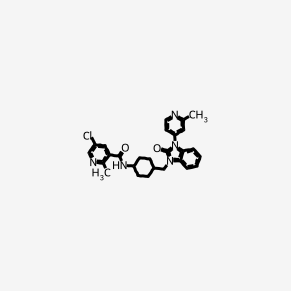 Cc1cc(-n2c(=O)n(CC3CCC(NC(=O)c4cc(Cl)cnc4C)CC3)c3ccccc32)ccn1